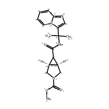 CC(C)(C)OC(=O)N1C[C@@H]2C(C(=O)NC(C)(C)c3cnc4ccccn34)[C@@H]2C1